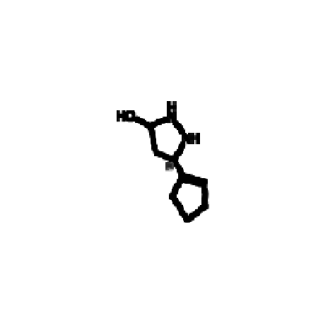 OC1C[C@H](C2=CCCC2)NN1